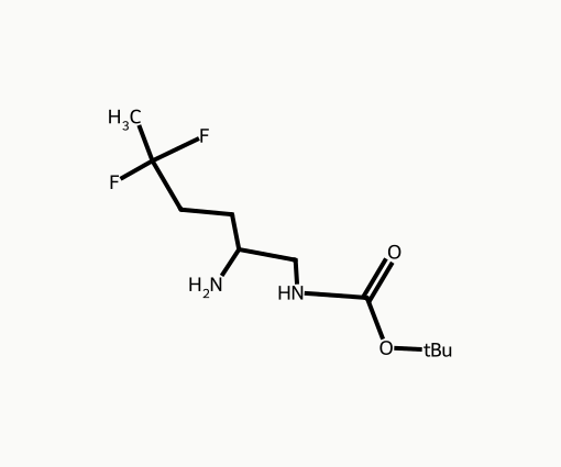 CC(F)(F)CCC(N)CNC(=O)OC(C)(C)C